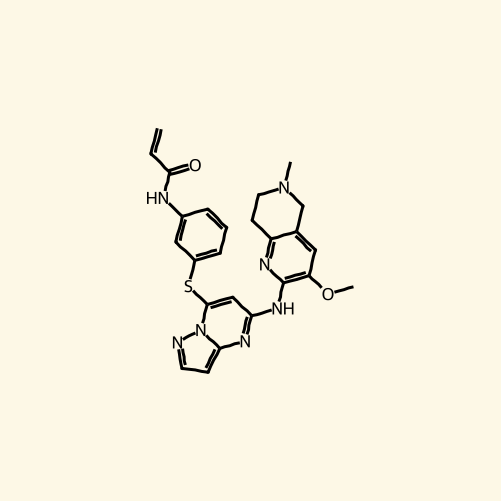 C=CC(=O)Nc1cccc(Sc2cc(Nc3nc4c(cc3OC)CN(C)CC4)nc3ccnn23)c1